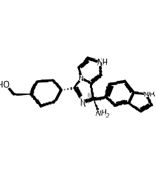 N[C@@]1(c2ccc3[nH]ccc3c2)N=C([C@H]2CC[C@H](CO)CC2)N2C=CNC=C21